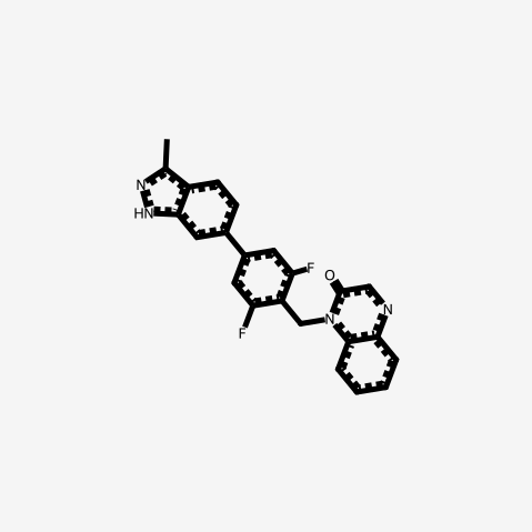 Cc1n[nH]c2cc(-c3cc(F)c(Cn4c(=O)cnc5ccccc54)c(F)c3)ccc12